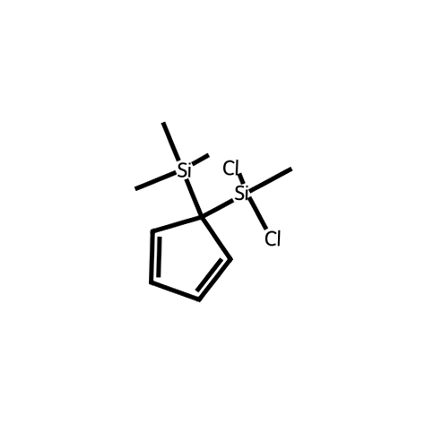 C[Si](C)(C)C1([Si](C)(Cl)Cl)C=CC=C1